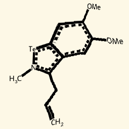 C=CCc1c2cc(OC)c(OC)cc2[te][n+]1C